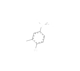 Cc1cc([S+](N)[O-])ccc1Br